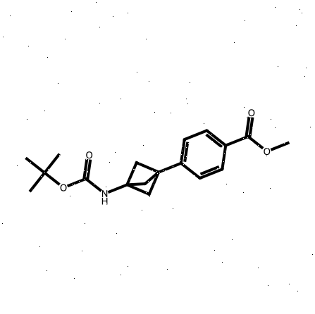 COC(=O)c1ccc(C23CC(NC(=O)OC(C)(C)C)(C2)C3)cc1